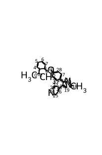 CC(C)C1C=CC=CC1COc1ccc(-c2nn(C)cc2-c2ccncc2)cc1